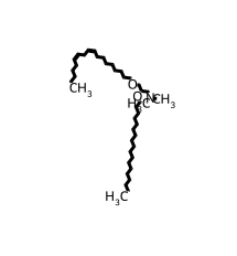 CCCCC/C=C\C/C=C\CCCCCCCCOCC(CN(C)C)OCCCCCCCCCCCCCCCCCC